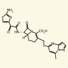 Cc1cc(SCC2=C(C(=O)O)N3C(=O)[C@@H](NC(=O)C(=O)c4csc(N)n4)[C@H]3SC2)nc2ccnn12